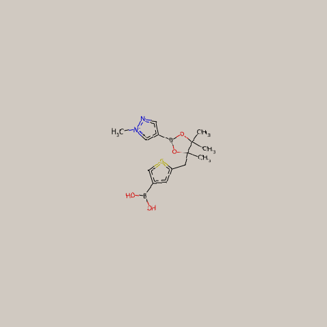 Cn1cc(B2OC(C)(C)C(C)(Cc3cc(B(O)O)cs3)O2)cn1